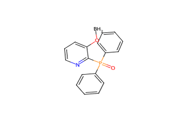 BOc1cccnc1P(=O)(c1ccccc1)c1ccccc1